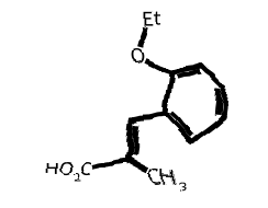 CCOc1ccccc1C=C(C)C(=O)O